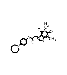 Cn1c(=O)c2c(ncn2CC(=O)Nc2ccc(N3CCCCCC3)cc2)n(C)c1=O